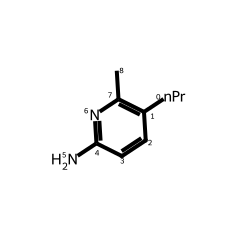 CCCc1ccc(N)nc1C